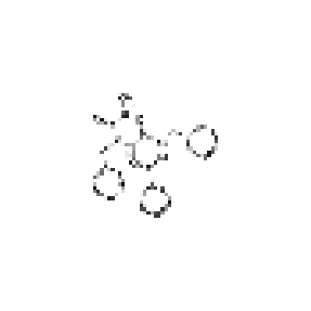 COC(=O)[C@H](Cc1ccccc1)NC(=O)[C@H](Cc1ccccc1)NC(=O)c1ccccc1